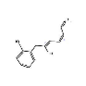 C=C/C=C\C=C(/O)Cc1ccccc1O